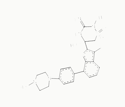 CN1CCN(c2ccc(-c3cccc4c(F)c([C@]5(C)CS(=O)(=O)N(C)C(=N)N5)sc34)cc2)CC1